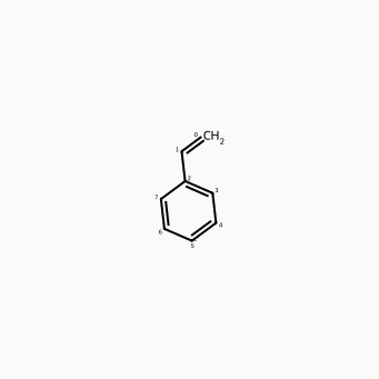 C=Cc1cc[c]cc1